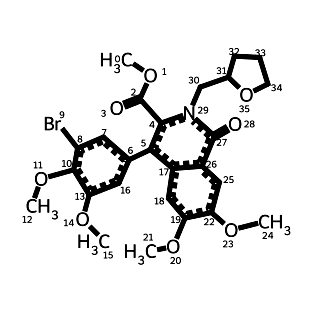 COC(=O)c1c(-c2cc(Br)c(OC)c(OC)c2)c2cc(OC)c(OC)cc2c(=O)n1CC1CCCO1